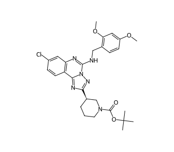 COc1ccc(CNc2nc3cc(Cl)ccc3c3nc([C@@H]4CCCN(C(=O)OC(C)(C)C)C4)nn23)c(OC)c1